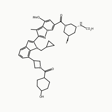 COc1cc(C(=O)N2C[C@H](F)C[C@@H](NC(=O)O)C2)cn2nc(-c3cc4cccc(C5CN(C(=O)C6CCC(O)CC6)C5)c4n3CC3CC3)c(C)c12